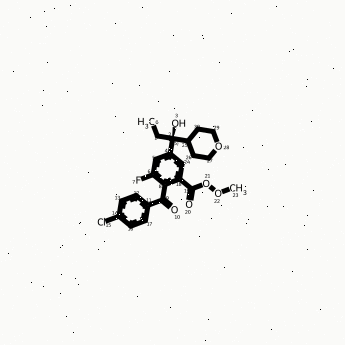 CC[C@@](O)(c1cc(F)c(C(=O)c2ccc(Cl)cc2)c(C(=O)OOC)c1)C1CCOCC1